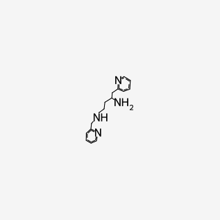 NC(CCCNCc1ccccn1)Cc1ccccn1